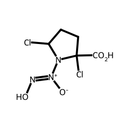 O=C(O)C1(Cl)CCC(Cl)N1/[N+]([O-])=N/O